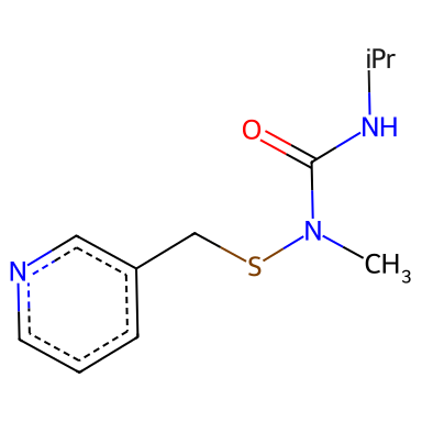 CC(C)NC(=O)N(C)SCc1cccnc1